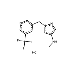 CNc1cnn(Cc2cncc(C(F)(F)F)c2)c1.Cl